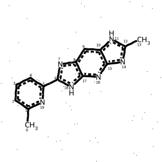 Cc1cccc(-c2nc3cc4[nH]c(C)nc4nc3[nH]2)n1